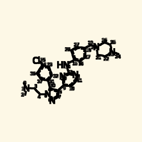 CN(C)CCn1ncc(-c2ccnc(Nc3ccc(CN4CCN(C)CC4)cc3)n2)c1-c1ccc(Cl)cc1